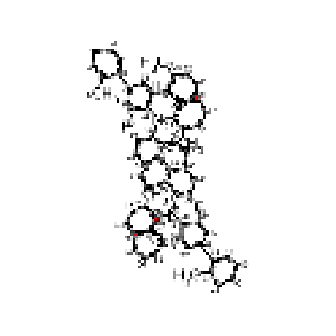 Cc1ccccc1-c1cc(F)c(N(c2c(C)cccc2C)c2ccc3ccc4c(N(c5c(C)cccc5C)c5c(F)cc(-c6ccccc6C)cc5-c5ccccc5C)ccc5ccc2c3c54)c(-c2ccccc2C)c1